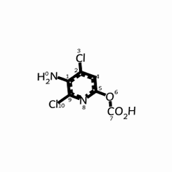 Nc1c(Cl)cc(OC(=O)O)nc1Cl